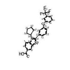 O=C(O)c1ccc2c(c1)nc(-c1cccc(Oc3cccc(C(F)(F)F)c3)c1)n2C1CCCC1